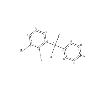 Fc1c(Br)cccc1C(I)(I)c1ccncc1